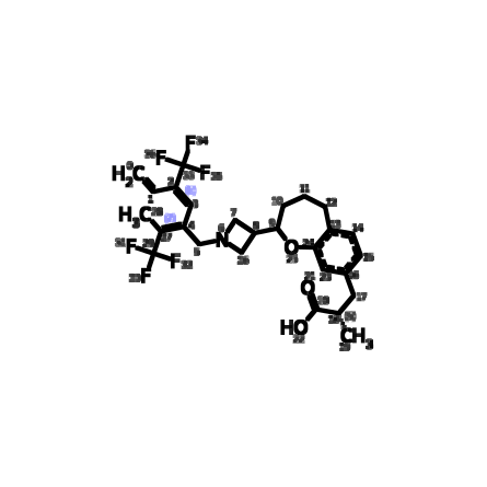 C=C/C(=C\C(CN1CC(C2CCCc3ccc(C[C@H](C)C(=O)O)cc3O2)C1)=C(/C)C(F)(F)F)C(F)(F)F